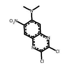 CN(C)c1cc2nc(Cl)c(Cl)nc2cc1[N+](=O)[O-]